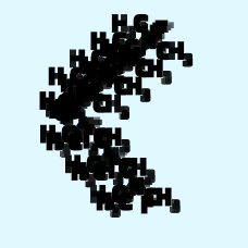 CCCC[N+](CCCC)(CCCC)CCCC.CCCC[N+](CCCC)(CCCC)CCCC.CCCC[N+](CCCC)(CCCC)CCCC.CCCC[N+](CCCC)(CCCC)CCCC.CCCC[N+](CCCC)(CCCC)CCCC.CCCC[N+](CCCC)(CCCC)CCCC.CCCC[N+](CCCC)(CCCC)CCCC.[F-].[F-].[F-].[F-].[O-]B([O-])[O-]